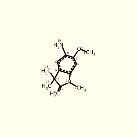 C=C1N(C)c2cc(OC)c(N)cc2C1(C)C